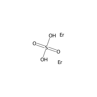 O=S(=O)(O)O.[Er].[Er]